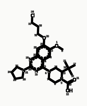 COc1cc2c(N3CCN(C(=O)O)C(C(C)(C)C)C3)nc(N3CCCC3)nc2cc1OCCCCl